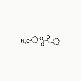 Cc1ccc(OC(=O)C(=O)Cc2ccccc2)cc1